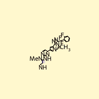 CN/C(=C\C=N)Nc1nccc(-c2cc3n(c2)C[C@H](C)n2c-3nnc2C(F)(F)c2ccccc2F)n1